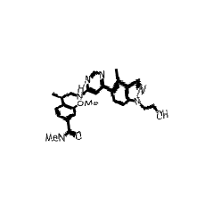 CNC(=O)c1ccc(C(C)CNc2cc(-c3ccc4c(cnn4CCO)c3C)ncn2)c(OC)c1